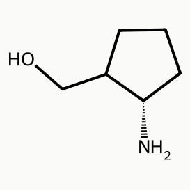 N[C@H]1CCCC1CO